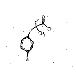 CC(=O)C(C)(C)Oc1ccc(Br)cc1